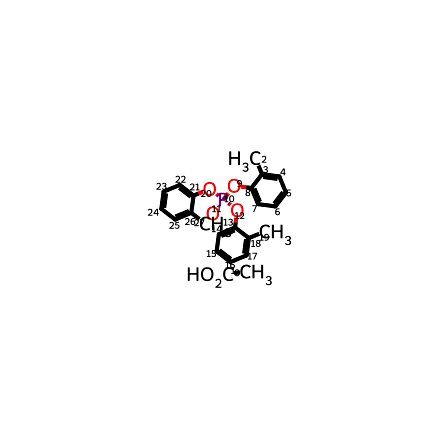 CC(=O)O.Cc1ccccc1OP(=O)(Oc1ccccc1C)Oc1ccccc1C